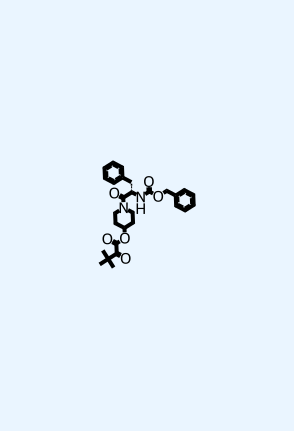 CC(C)(C)C(=O)C(=O)OC1CCN(C(=O)[C@H](Cc2ccccc2)NC(=O)OCc2ccccc2)CC1